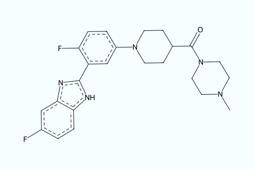 CN1CCN(C(=O)C2CCN(c3ccc(F)c(-c4nc5cc(F)ccc5[nH]4)c3)CC2)CC1